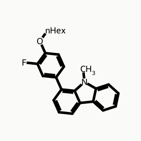 CCCCCCOc1ccc(-c2cccc3c4ccccc4n(C)c23)cc1F